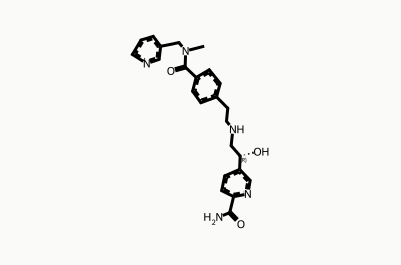 CN(Cc1cccnc1)C(=O)c1ccc(CCNC[C@H](O)c2ccc(C(N)=O)nc2)cc1